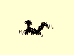 CCCC[N+](C)(C)Cc1ccc(COC(=O)C(C)(CO)COC(=O)OCC(C)(COC(C)=O)C(=O)OCCCN2C(=O)C=CC2=O)cc1